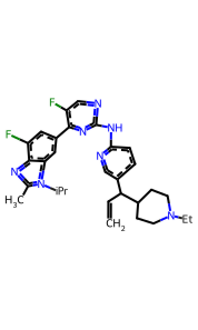 C=CC(c1ccc(Nc2ncc(F)c(-c3cc(F)c4nc(C)n(C(C)C)c4c3)n2)nc1)C1CCN(CC)CC1